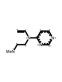 C=CN(CCNC)c1ccncn1